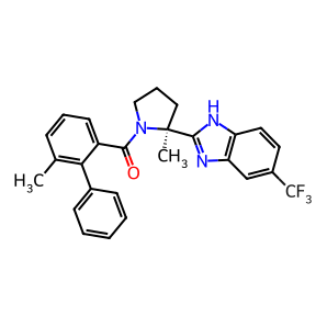 Cc1cccc(C(=O)N2CCC[C@@]2(C)c2nc3cc(C(F)(F)F)ccc3[nH]2)c1-c1ccccc1